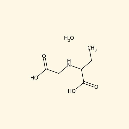 CCC(NCC(=O)O)C(=O)O.O